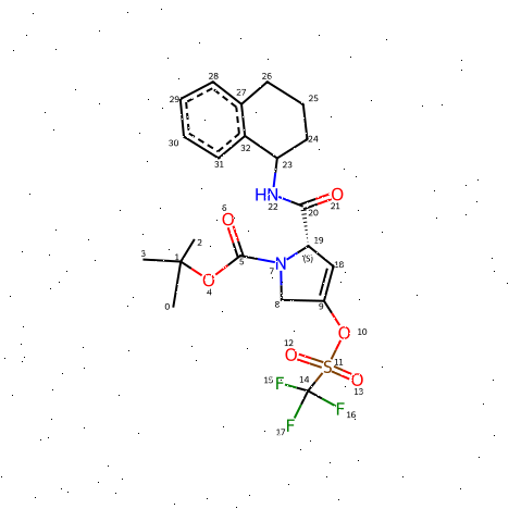 CC(C)(C)OC(=O)N1CC(OS(=O)(=O)C(F)(F)F)=C[C@H]1C(=O)NC1CCCc2ccccc21